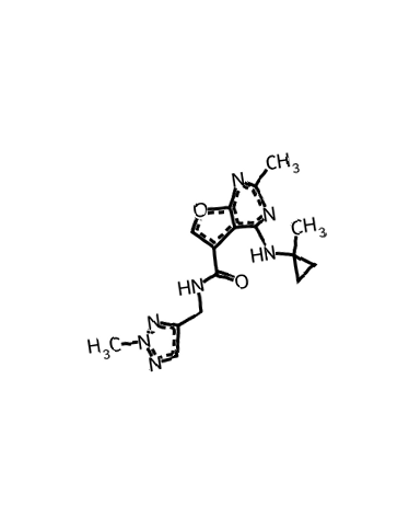 Cc1nc(NC2(C)CC2)c2c(C(=O)NCc3cnn(C)n3)coc2n1